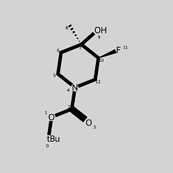 CC(C)(C)OC(=O)N1CC[C@@](C)(O)[C@@H](F)C1